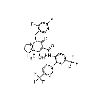 C[C@]12CCCN1N(Cc1ccc(F)cc1F)C(=O)C(C(=O)Nc1ccc(C(F)(F)F)cc1-c1ccc(C(F)(F)F)nc1)=C2O